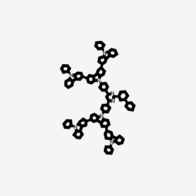 c1ccc(-c2cccc(-c3nc(-c4ccc(-n5c6ccc(-c7ccc8c(c7)c7ccccc7n8-c7ccccc7)cc6c6cc(-c7ccc8c(c7)c7ccccc7n8-c7ccccc7)ccc65)cc4)cc(-c4ccc(-n5c6ccc(-c7ccc8c(c7)c7ccccc7n8-c7ccccc7)cc6c6cc(-c7ccc8c(c7)c7ccccc7n8-c7ccccc7)ccc65)cc4)n3)c2)cc1